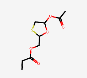 CCC(=O)OCC1OC(OC(C)=O)CS1